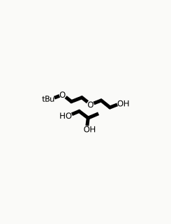 CC(C)(C)OCCOCCO.CC(O)CO